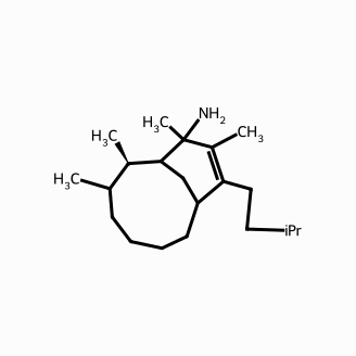 CC1=C(CCC(C)C)C2CCCCC(C)[C@@H](C)C(C2)C1(C)N